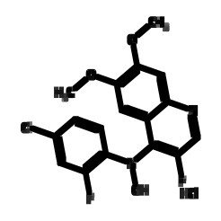 COc1cc2ncc(F)c(N(O)c3ccc(Cl)cc3F)c2cc1OC.Cl